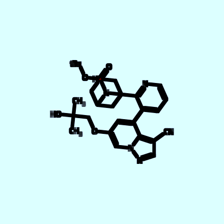 CC(C)(O)COc1cc(-c2cccnc2C23CNCC(C2)N3C(=O)OC(C)(C)C)c2c(C#N)cnn2c1